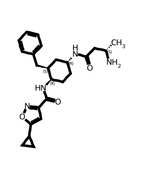 C[C@H](N)CC(=O)N[C@@H]1CC[C@@H](NC(=O)c2cc(C3CC3)on2)[C@@H](Cc2ccccc2)C1